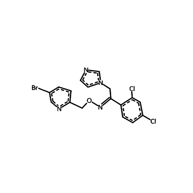 Clc1ccc(C(Cn2ccnc2)=NOCc2ccc(Br)cn2)c(Cl)c1